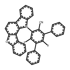 N#Cc1c(-c2ccccc2)c(F)c(-c2ccccc2)c(F)c1-n1c2ccccc2c2ccc3oc4ccccc4c3c21